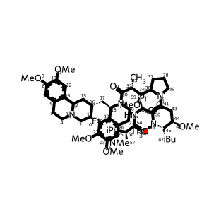 CC[C@H]1CN2CCc3cc(OC)c(OC)cc3C2C[C@@H]1C[C@@H]1c2cc(OC)c(OC)cc2CCN1C(=O)[C@H](C)[C@@H](OC)C1CCCN1C(=O)C[C@@H](OC)[C@H]([C@@H](C)CC)N(C)C(=O)[C@@H](NC(=O)[C@@H](NC)C(C)C)C(C)C